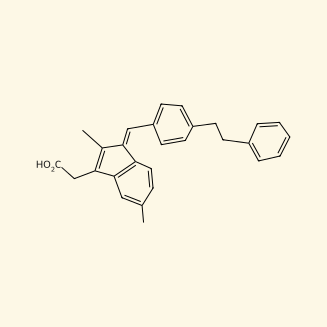 CC1=C(CC(=O)O)c2cc(C)ccc2/C1=C\c1ccc(CCc2ccccc2)cc1